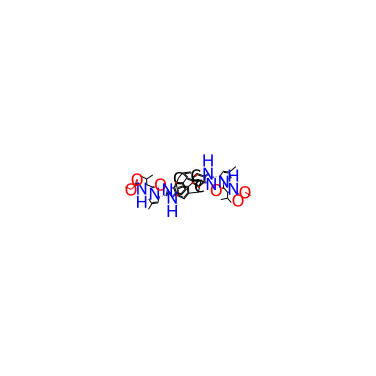 COC(=O)N[C@H](C(=O)N1CC(C)=C[C@H]1c1nc2cc(-c3cc4ccc3CCc3ccc(c(-c5ccc6[nH]c([C@@H]7C=C(C)CN7C(=O)[C@@H](NC(=O)OC)C(C)C)nc6c5)c3)CC4)ccc2[nH]1)C(C)C